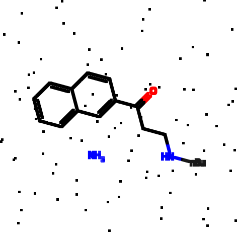 CCCCNCCC(=O)c1ccc2ccccc2c1.N